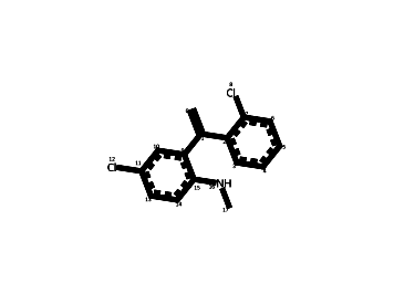 C=C(c1ccccc1Cl)c1cc(Cl)ccc1NC